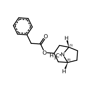 CN1[C@@H]2CC[C@H]1CC(OC(=O)Cc1ccccc1)C2